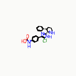 O=C(O)Nc1ccc(-c2nc([C@H]3NCCC[C@H]3c3ccccc3)[nH]c2Cl)cc1